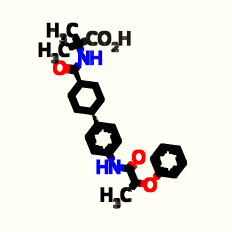 CC(Oc1ccccc1)C(=O)Nc1ccc([C@H]2CC[C@H](C(=O)NC(C)(C)C(=O)O)CC2)cc1